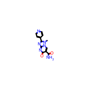 Cn1c(-c2ccncc2)nc2nc(=O)c(C(N)=O)cn21